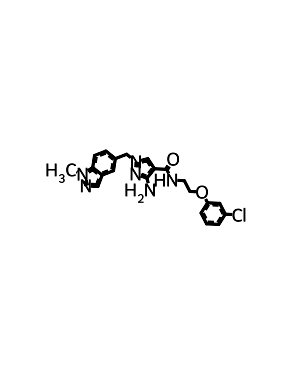 Cn1ncc2cc(Cn3cc(C(=O)NCCOc4cccc(Cl)c4)c(N)n3)ccc21